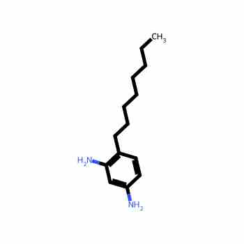 CCCCCCCCc1ccc(N)cc1N